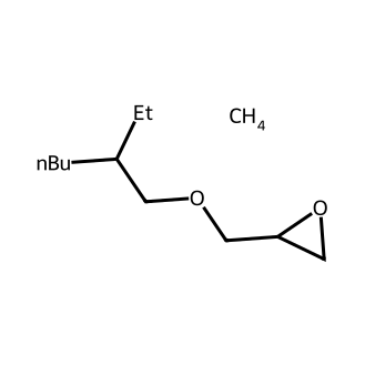 C.CCCCC(CC)COCC1CO1